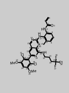 C=CC(=O)Nc1cccc(C)c1Nc1ncc2cc(-c3c(Cl)c(OC)cc(OC)c3Cl)nc(NCCCC(F)(F)CC)c2n1